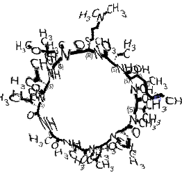 C/C=C/C[C@@H](C)[C@@H](O)[C@H]1C(=O)N[C@@H](CC)C(=O)N(C)[C@H](SCCCN(C)C)C(=O)N(C)[C@@H](CC(C)(C)OC)C(=O)N[C@@H](C(C)C)C(=O)N(C)[C@@H](CC(C)C)C(=O)N[C@@H](C)C(=O)N[C@H](C)C(=O)N(C)[C@@H](CC(C)C)C(=O)N(C)[C@@H](CC(C)C)C(=O)N(C)[C@@H](C(C)C)C(=O)N1C